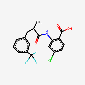 CC(Cc1cccc(C(F)(F)F)c1)C(=O)Nc1cc(Cl)ccc1C(=O)O